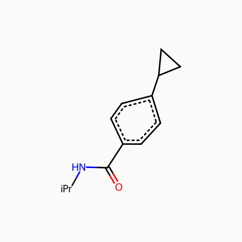 CC(C)NC(=O)c1ccc(C2CC2)cc1